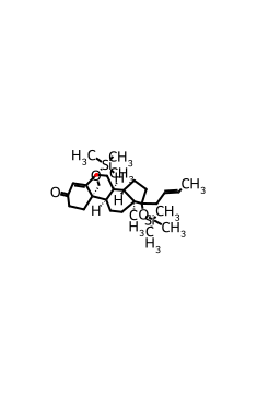 CC=CCC1(O[Si](C)(C)C)CC[C@H]2[C@@H]3CCC4=CC(=O)CC[C@]4(CO[Si](C)(C)C)[C@@H]3CC[C@@]21C